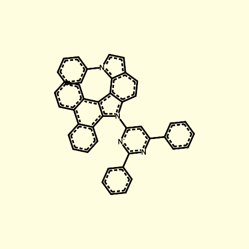 c1ccc(-c2cc(-n3c4ccc5ccn(-c6ccccc6)c5c4c4c5ccccc5c5ccccc5c43)nc(-c3ccccc3)n2)cc1